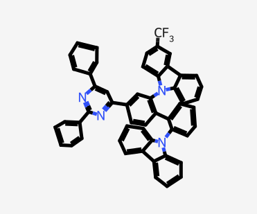 FC(F)(F)c1ccc2c(c1)c1ccccc1n2-c1cc(-c2cc(-c3ccccc3)nc(-c3ccccc3)n2)ccc1-c1ccccc1-n1c2ccccc2c2ccccc21